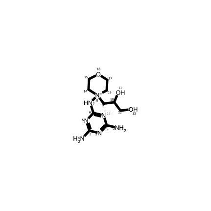 Nc1nc(N)nc(N[N+]2(CC(O)CO)CCOCC2)n1